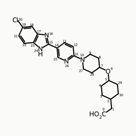 O=C(O)CC1CCC(OC2CCN(c3ccc(-c4nc5cc(Cl)ccc5[nH]4)cn3)CC2)CC1